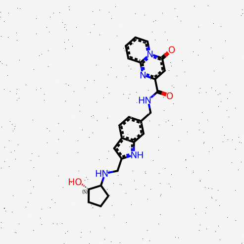 O=C(NCc1ccc2cc(CNC3CCC[C@@H]3O)[nH]c2c1)c1cc(=O)n2ccccc2n1